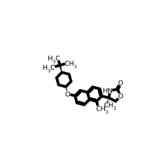 Cc1c([C@]2(C)COC(=O)N2)ccc2cc(O[C@H]3CC[C@H](C(C)(C)C)CC3)ccc12